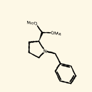 COC(OC)[C@@H]1CCCN1Cc1ccccc1